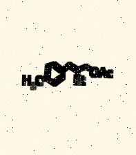 CC/C(=C\c1ccc(C)cc1)COC(C)=O